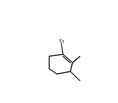 CCC1=C(C)C(C)CCC1